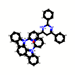 c1ccc(C2=NC(c3ccccc3)NC(c3ccc(-n4c5ccccc5c5ccc6c7ccccc7n(-c7ccccc7)c6c54)nc3)C2)cc1